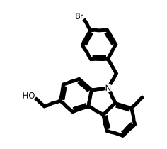 Cc1cccc2c3cc(CO)ccc3n(Cc3ccc(Br)cc3)c12